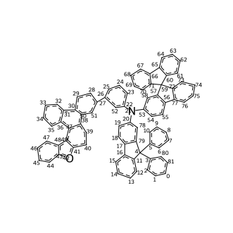 c1ccc(C2(c3ccccc3)c3ccccc3-c3ccc(N(c4cccc(-c5ccc6c7ccccc7c7c(ccc8oc9ccccc9c87)c6c5)c4)c4ccc5c(c4)C4(c6ccccc6-c6ccccc64)c4ccccc4-5)cc32)cc1